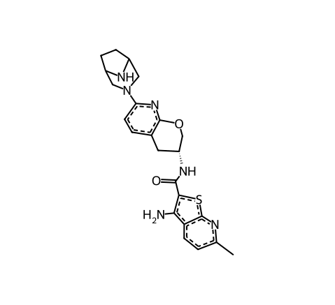 Cc1ccc2c(N)c(C(=O)N[C@H]3COc4nc(N5CC6CCC(C5)N6)ccc4C3)sc2n1